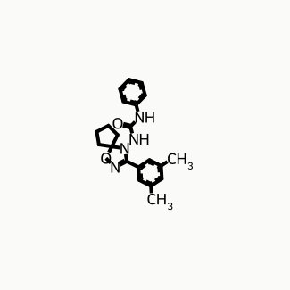 Cc1cc(C)cc(C2=NOC3(CCCC3)N2NC(=O)Nc2ccccc2)c1